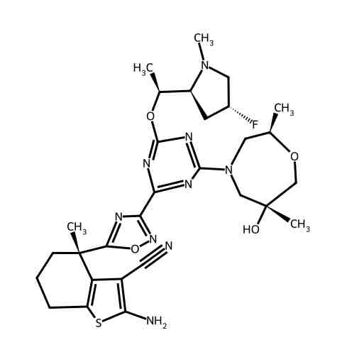 C[C@@H]1CN(c2nc(O[C@@H](C)[C@@H]3C[C@@H](F)CN3C)nc(-c3noc([C@@]4(C)CCCc5sc(N)c(C#N)c54)n3)n2)C[C@@](C)(O)CO1